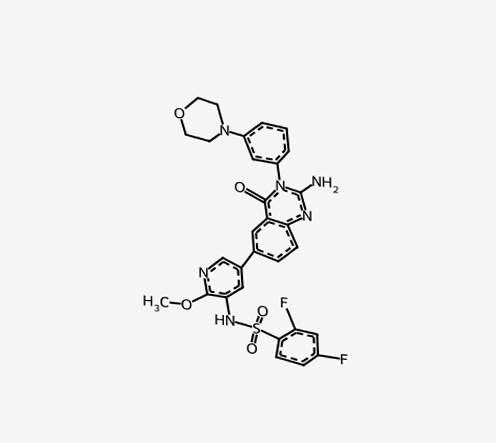 COc1ncc(-c2ccc3nc(N)n(-c4cccc(N5CCOCC5)c4)c(=O)c3c2)cc1NS(=O)(=O)c1ccc(F)cc1F